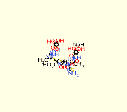 CC1=NC2=CN(CNS(=O)(=O)c3ccc(O)c(O)c3)NN2C(SCC2=C(C(=O)O)N3C(=O)[C@@H](NC(=O)C(=NOC(C)(C)C(=O)NNC(=O)c4ccc(O)c(O)c4)c4csc(N)n4)[C@H]3SC2)=C1.[NaH]